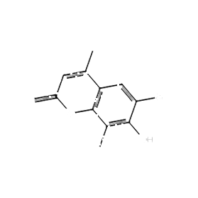 C=C1C=C(C)c2cc(Br)c(O)c(C)c2O1